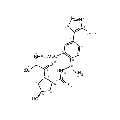 COc1cc(-c2scnc2C)ccc1[C@H](C)NC(=O)[C@@H]1C[C@@H](O)CN1C(=O)[C@@H](NC(C)=O)C(C)(C)C